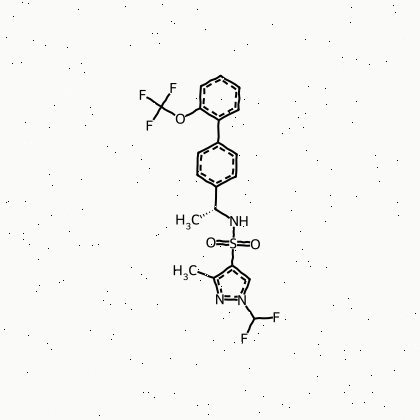 Cc1nn(C(F)F)cc1S(=O)(=O)N[C@H](C)c1ccc(-c2ccccc2OC(F)(F)F)cc1